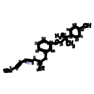 CCN(C/C=C/C#CC(C)(C)C)Cc1cccc(OC[Si](C)(C)c2ccc(O)cc2)c1